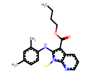 CCCCOC(=O)c1c(Nc2ccc(C)cc2C)n(S)c2ncccc12